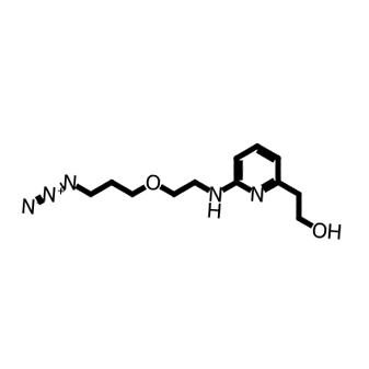 [N-]=[N+]=NCCCOCCNc1cccc(CCO)n1